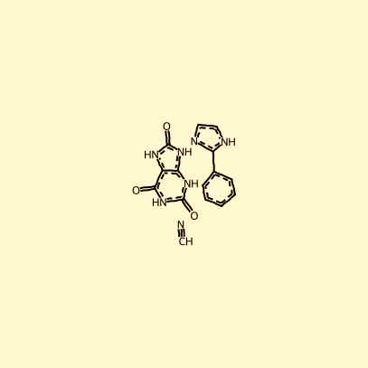 C#N.O=c1[nH]c(=O)c2[nH]c(=O)[nH]c2[nH]1.c1ccc(-c2ncc[nH]2)cc1